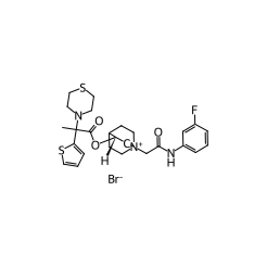 CC(C(=O)O[C@H]1C[N+]2(CC(=O)Nc3cccc(F)c3)CCC1CC2)(c1cccs1)N1CCSCC1.[Br-]